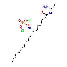 CCCCCCCCCCCCCCCCCC(=O)NC(N)CC.N.O=P(O)(OCl)OCl